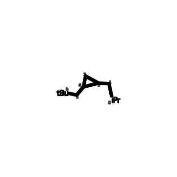 CC(C)CC1CC1CC(C)(C)C